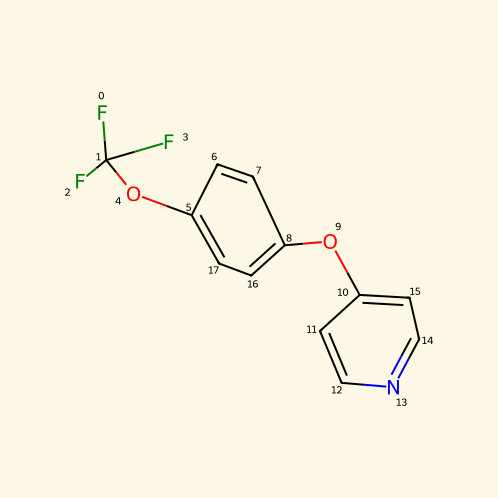 FC(F)(F)Oc1ccc(Oc2ccncc2)cc1